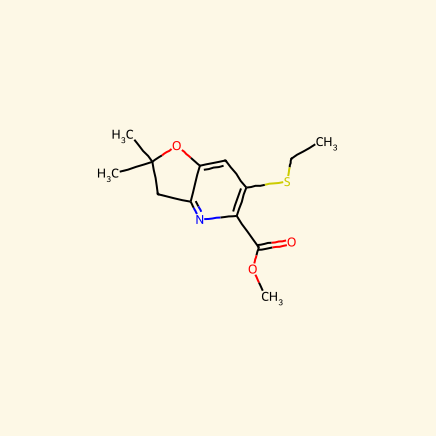 CCSc1cc2c(nc1C(=O)OC)CC(C)(C)O2